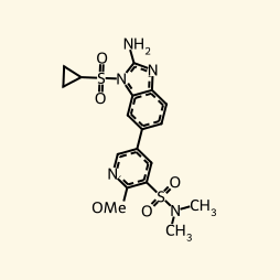 COc1ncc(-c2ccc3nc(N)n(S(=O)(=O)C4CC4)c3c2)cc1S(=O)(=O)N(C)C